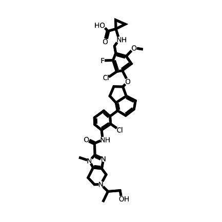 COc1cc(OC2CCc3c(-c4cccc(NC(=O)c5nc6c(n5C)CCN(C(C)CO)C6)c4Cl)cccc32)c(Cl)c(F)c1CNC1(C(=O)O)CC1